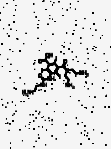 NCCNC(=O)Nc1c(I)c(C(=O)O)c(I)c(C(=O)N(CCN)CCN)c1I